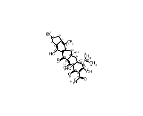 CC[C@H](C)N1Cc2c(O)c3c(c(C(F)(F)F)c2C1)C[C@H]1C[C@H]2[C@H](N(C)C)C(O)=C(C(N)=O)C(=O)[C@@]2(O)C(O)=C1C3=O